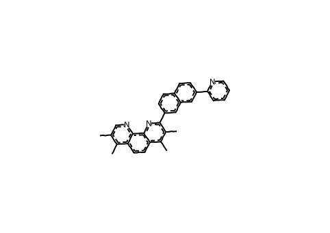 Cc1cnc2c(ccc3c(C)c(C)c(-c4ccc5ccc(-c6ccccn6)cc5c4)nc32)c1C